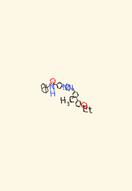 CCOc1cccc(-c2ccc(CN3CCN(c4ccc(C(=O)NCC56CC7CC(CC(C7)C5)C6)cc4)CC3)cc2C)c1